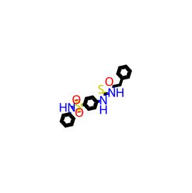 O=C(Cc1ccccc1)NC(=S)Nc1ccc(S(=O)(=O)Nc2ccccc2)cc1